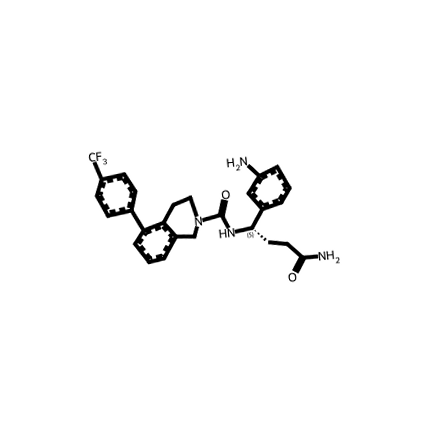 NC(=O)CC[C@H](NC(=O)N1CCc2c(cccc2-c2ccc(C(F)(F)F)cc2)C1)c1cccc(N)c1